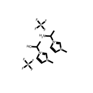 CC(N)[n+]1ccn(C)c1.CC(O)[n+]1ccn(C)c1.F[B-](F)(F)F.F[B-](F)(F)F